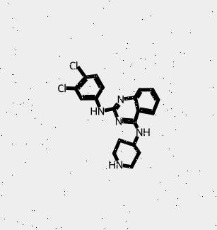 Clc1ccc(Nc2nc(NC3CCNCC3)c3ccccc3n2)cc1Cl